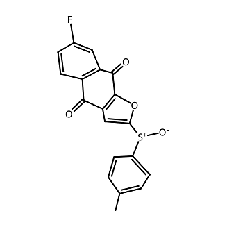 Cc1ccc([S+]([O-])c2cc3c(o2)C(=O)c2cc(F)ccc2C3=O)cc1